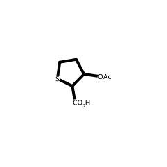 CC(=O)OC1CCSC1C(=O)O